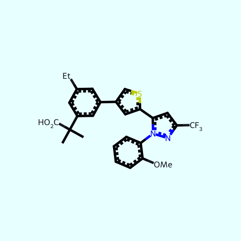 CCc1cc(-c2csc(-c3cc(C(F)(F)F)nn3-c3ccccc3OC)c2)cc(C(C)(C)C(=O)O)c1